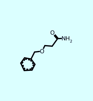 NC(=O)CCOCc1ccccc1